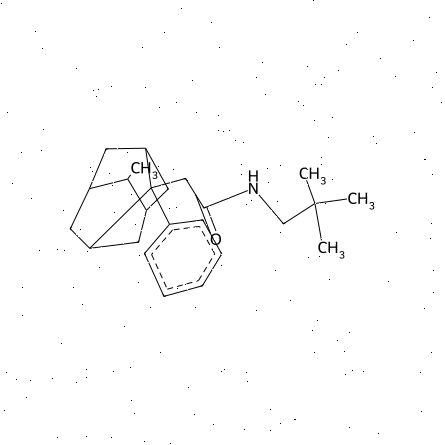 CC1C2CC3CC1CC(C2)C3(CC(=O)NCC(C)(C)C)c1ccccc1